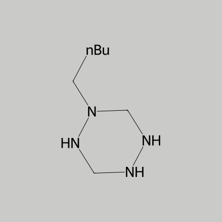 CCCCCN1CNNCN1